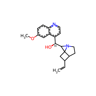 C=CC1CC23C1CCN2C3[C@@H](O)c1ccnc2ccc(OC)cc12